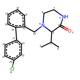 CC(C)C1C(=O)NCCN1Cc1ccccc1-c1ccc(Cl)cc1